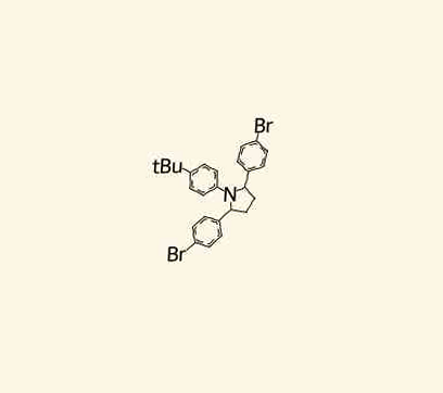 CC(C)(C)c1ccc(N2C(c3ccc(Br)cc3)CCC2c2ccc(Br)cc2)cc1